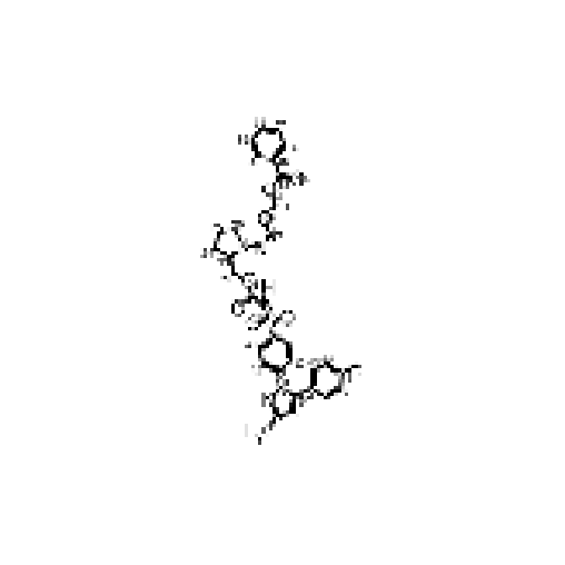 Cc1ccc(-c2cc(C(F)(F)F)nn2-c2ccc(S(=O)(=O)NC(=O)OCC3CCCN3/N=N\OCOC(=O)c3ccccc3)cc2)cc1